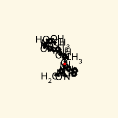 C=CC(=O)N1CCN(c2nc(OC[C@@H]3C[C@H](C(=O)N[C@@H]4CCCN(Cc5ccc(-n6c(O)nnc6-c6cc(C(C)C)c(O)cc6O)cc5)C4)CN3C)nc3c2CCN(c2cccc4cccc(Cl)c24)C3)C[C@@H]1CC#N